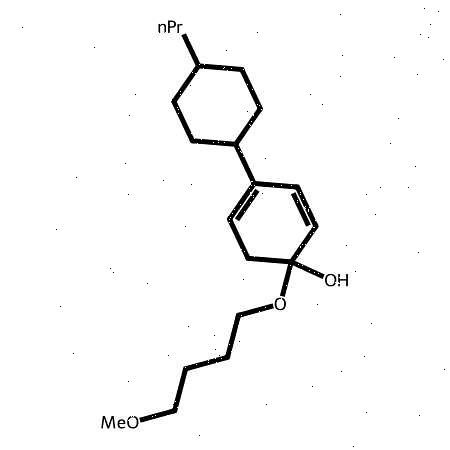 CCCC1CCC(C2=CCC(O)(OCCCCOC)C=C2)CC1